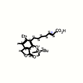 CCc1c(C)c2c(c(O[Si](C)(C)C(C)(C)C)c1CCCC/C=C/C(=O)O)C(=O)OC2